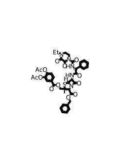 CCN1CCN(C(=O)N[C@@H](C(=O)N[C@@H]2C(=O)N3C(C(=O)OCc4ccccc4)[C@](C)(COC(=O)c4ccc(OC(C)=O)c(OC(C)=O)c4)S[C@@H]23)c2ccccc2)C(=O)C1=O